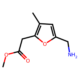 COC(=O)Cc1oc(CN)cc1C